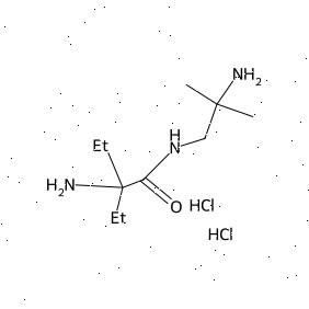 CCC(N)(CC)C(=O)NCC(C)(C)N.Cl.Cl